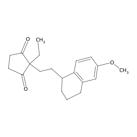 CCC1(CCC2CCCc3cc(OC)ccc32)C(=O)CCC1=O